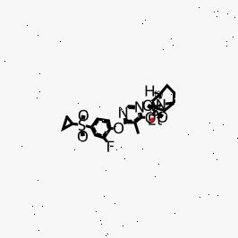 CCS(=O)(=O)N1C2CC[C@H]1C[C@@H](Oc1ncnc(Oc3ccc(S(=O)(=O)C4CC4)cc3F)c1C)C2